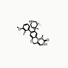 COc1cccc(-c2cc3c(cc2[C@]2(C)CCNC[C@@H]2C)N2C(=CNC(=O)N2C)CO3)c1F